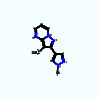 CCOC(=O)c1c(-c2cnn(CC)c2)nn2cccnc12